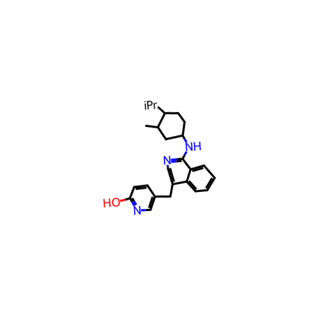 CC(C)C1CCC(Nc2ncc(Cc3ccc(O)nc3)c3ccccc23)CC1C